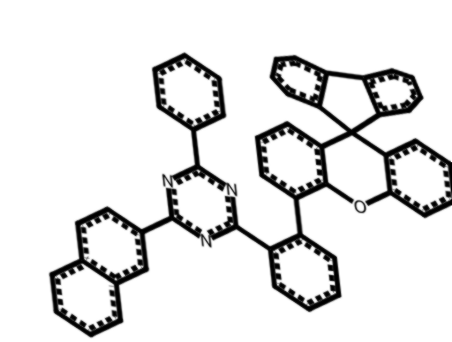 c1ccc(-c2nc(-c3ccc4ccccc4c3)nc(-c3ccccc3-c3cccc4c3Oc3ccccc3C43c4ccccc4-c4ccccc43)n2)cc1